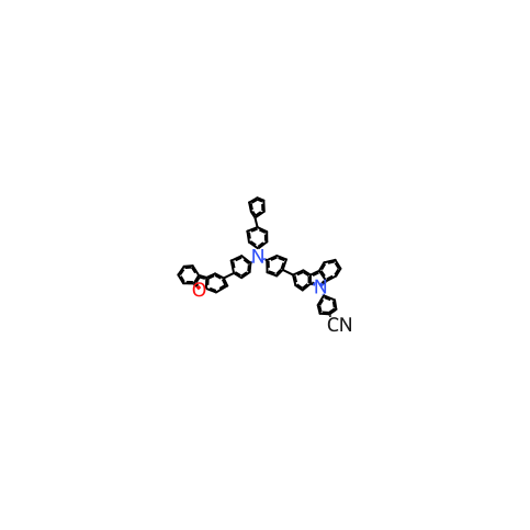 N#Cc1ccc(-n2c3ccccc3c3cc(-c4ccc(N(c5ccc(-c6ccccc6)cc5)c5ccc(-c6ccc7oc8ccccc8c7c6)cc5)cc4)ccc32)cc1